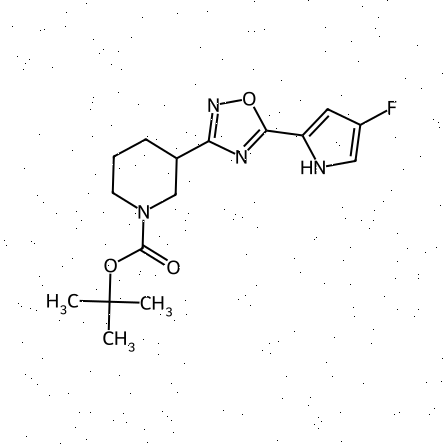 CC(C)(C)OC(=O)N1CCCC(c2noc(-c3cc(F)c[nH]3)n2)C1